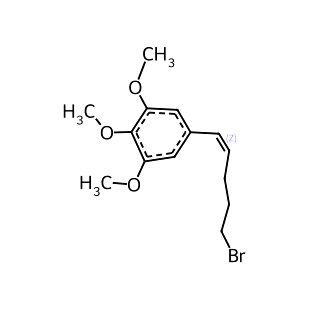 COc1cc(/C=C\CCCBr)cc(OC)c1OC